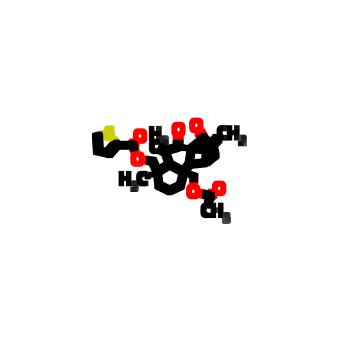 C=C1C=C2C[C@]3(C1=O)C(=O)C(=C)C1[C@](C)(COC(=O)c4cccs4)CCC[C@@]1(COC(C)=O)C23